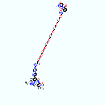 Cc1cc(C)c(CNC(=O)c2cc(-c3ccc(N4CCN(CCNC(=O)CCOCCOCCOCCOCCOCCOCCOCCOCCOCCOCCOCCOCCNc5cccc6c5C(=O)N(C5CCC(=O)NC5=O)C6=O)CC4)nc3)cc(NC(C)C)c2C=N)c(=O)[nH]1